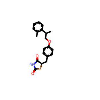 Cc1ccccc1C(C)COc1ccc(CC2SC(=O)NC2=O)cc1